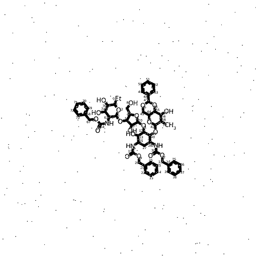 CCC1OC(OC2C(CO)OC(OC3C(O)C(NC(=O)OCc4ccccc4)CC(NC(=O)OCc4ccccc4)C3OC3OC4COC(c5ccccc5)OC4C(O)C3C)C2O)C(NC(=O)OCc2ccccc2)C(O)C1O